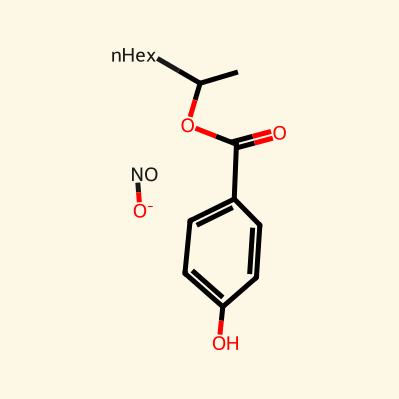 CCCCCCC(C)OC(=O)c1ccc(O)cc1.O=[NH+][O-]